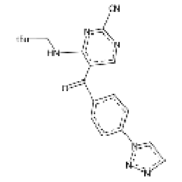 CC(C)(C)CNc1nc(C#N)ncc1C(=O)c1ccc(-n2ccnn2)cc1